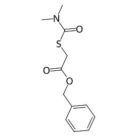 CN(C)C(=O)SCC(=O)OCc1ccccc1